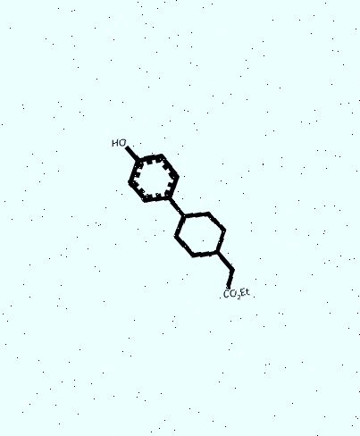 CCOC(=O)CC1CCC(c2ccc(O)cc2)CC1